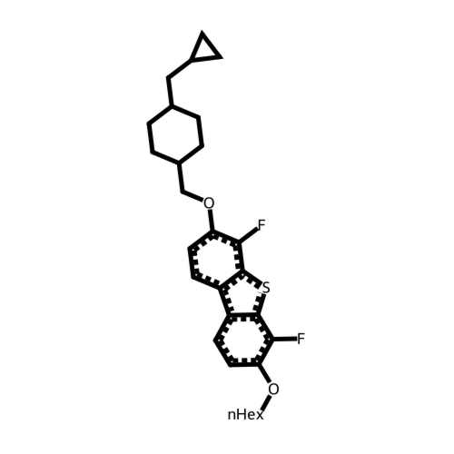 CCCCCCOc1ccc2c(sc3c(F)c(OCC4CCC(CC5CC5)CC4)ccc32)c1F